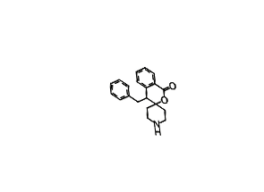 O=C1OC2(CCNCC2)C(Cc2ccccc2)c2ccccc21